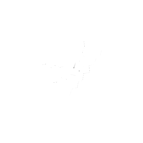 CCCCCCCC(CCCCCC)C(CCCCCC)(CCCCCC)C(=O)OCCCCCC